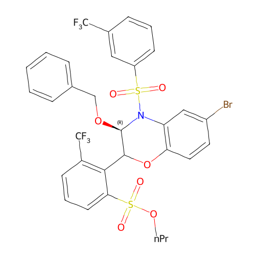 CCCOS(=O)(=O)c1cccc(C(F)(F)F)c1C1Oc2ccc(Br)cc2N(S(=O)(=O)c2cccc(C(F)(F)F)c2)[C@@H]1OCc1ccccc1